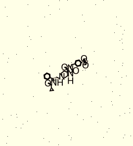 CS(=O)(=O)c1ccc(CN2C(=O)NC3(CCN(CC[C@H](NC(=O)C4CC4)c4ccccc4)CC3)C2=O)cc1